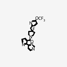 O=C(c1cccnc1-c1ccncn1)N1CCC(F)(Cc2ccc(OC(F)(F)F)cn2)CC1